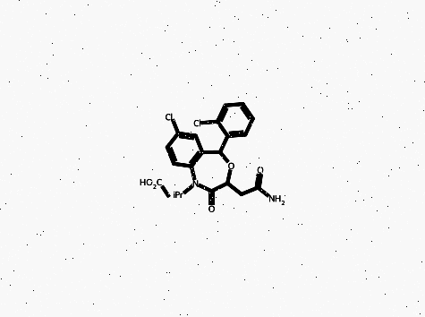 CC(=O)O.CC(C)N1C(=O)C(CC(N)=O)OC(c2ccccc2Cl)c2cc(Cl)ccc21